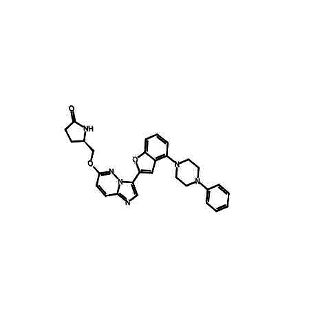 O=C1CC[C@H](COc2ccc3ncc(-c4cc5c(N6CCN(c7ccccc7)CC6)cccc5o4)n3n2)N1